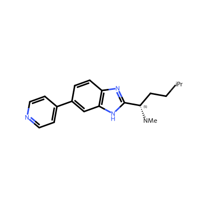 CN[C@@H](CCC(C)C)c1nc2ccc(-c3ccncc3)cc2[nH]1